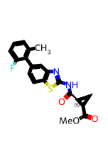 COC(=O)C1C[C@@H]1C(=O)Nc1nc2cc(-c3c(C)cccc3F)ccc2s1